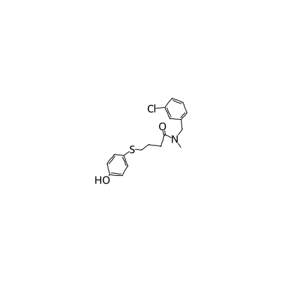 CN(Cc1cccc(Cl)c1)C(=O)CCCSc1ccc(O)cc1